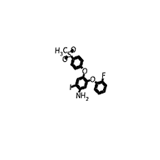 CS(=O)(=O)c1ccc(Oc2cc(I)c(N)cc2Oc2ccccc2F)cc1